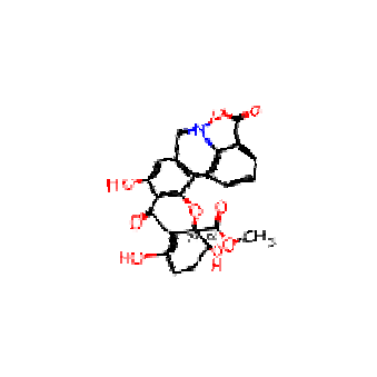 COC(=O)[C@]12Oc3c(c(O)cc4c3-c3cccc5c(=O)on(c35)C4)C(=O)C1=C(O)CC[C@@H]2O